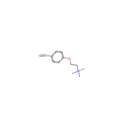 C[N+](C)(C)CCOc1ccc(C(=O)[O-])cc1